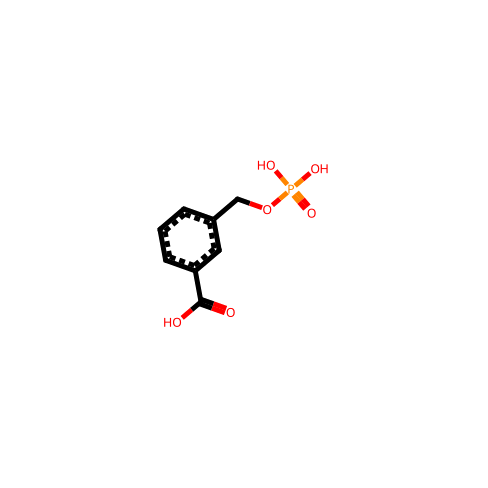 O=C(O)c1cccc(COP(=O)(O)O)c1